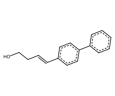 OCCC=Cc1ccc(-c2ccccc2)cc1